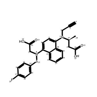 C#CCN(c1ccc(N(CC(=O)O)Sc2ccc(F)cc2)c2ccccc12)[C@@H](C)CC(=O)O